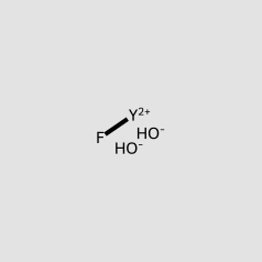 [F][Y+2].[OH-].[OH-]